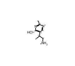 Cc1ncc(C(C)CN)cn1.Cl